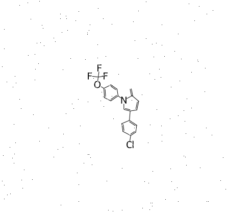 C=C1C=CC(c2ccc(Cl)cc2)=CN1c1ccc(OC(F)(F)F)cc1